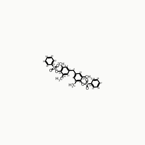 Cc1cc(Cc2cc(C)c(OS(=O)(=O)c3ccccc3)c(C)c2)cc(C)c1OS(=O)(=O)c1ccccc1